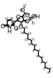 CCCCCCCCCCCCCCCCOC1C(OP(C)(=O)O)C(COC)OC1n1ccc(=O)[nH]c1=O